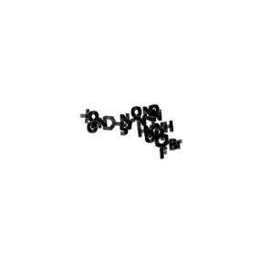 CC(C)(C)OC(=O)N1CCC(c2nc(C(=O)Nc3nonc3C(=NO)Nc3ccc(F)c(Br)c3)cs2)CC1